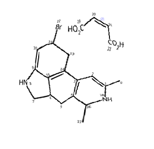 CC1=CC2=C(CC3CNC4=CC(Br)CC2=C43)C(C)N1.O=C(O)/C=C\C(=O)O